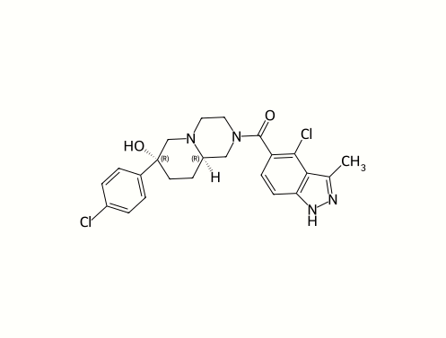 Cc1n[nH]c2ccc(C(=O)N3CCN4C[C@](O)(c5ccc(Cl)cc5)CC[C@@H]4C3)c(Cl)c12